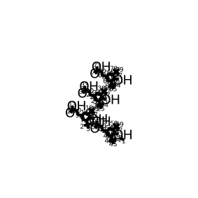 CC.CC(C)(C)c1cc(CCC(=O)O)cc(C(C)(C)C)c1O.CC(C)(C)c1cc(CCC(=O)O)cc(C(C)(C)C)c1O.CC(C)(C)c1cc(CCC(=O)O)cc(C(C)(C)C)c1O.CC(C)(C)c1cc(CCC(=O)O)cc(C(C)(C)C)c1O